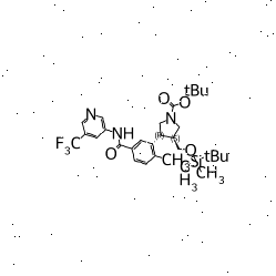 Cc1ccc(C(=O)Nc2cncc(C(F)(F)F)c2)cc1[C@@H]1CN(C(=O)OC(C)(C)C)C[C@H]1CO[Si](C)(C)C(C)(C)C